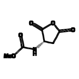 COC(=O)N[C@H]1CC(=O)OC1=O